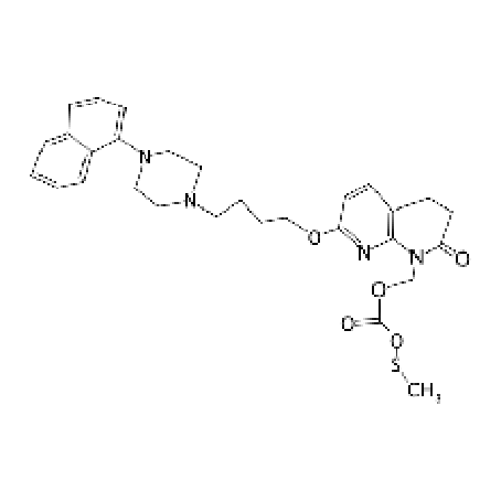 CSOC(=O)OCN1C(=O)CCc2ccc(OCCCCN3CCN(c4cccc5ccccc45)CC3)nc21